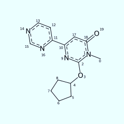 Cn1c(OC2CCCC2)nc(-c2ccncn2)cc1=O